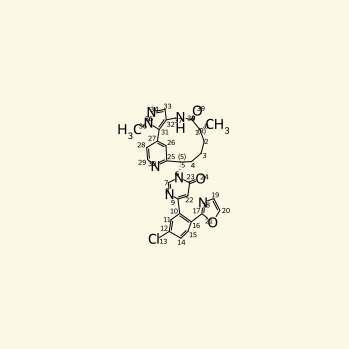 C[C@@H]1CCC[C@H](n2cnc(-c3cc(Cl)ccc3-c3ncco3)cc2=O)c2cc(ccn2)-c2c(cnn2C)NC1=O